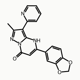 Cc1nn2c(=O)cc(-c3ccc4c(c3)OCO4)[nH]c2c1-c1ccccn1